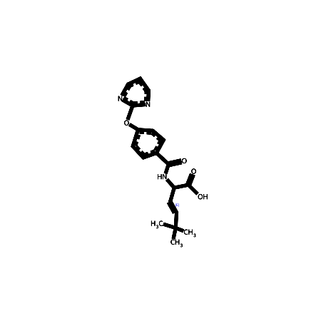 CC(C)(C)/C=C/C(NC(=O)c1ccc(Oc2ncccn2)cc1)C(=O)O